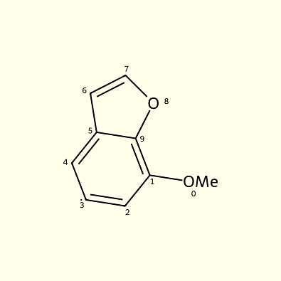 COc1c[c]cc2ccoc12